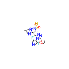 Cc1cnc([C@H](Cc2nnc([C@H]3CCCO3)n2-c2c(F)cncc2F)[C@@H](C)N[SH](=O)=O)nc1